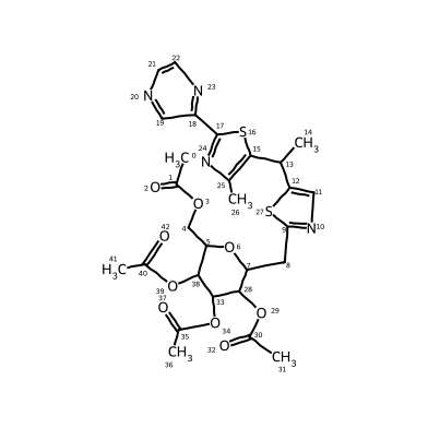 CC(=O)OCC1OC(Cc2ncc(C(C)c3sc(-c4cnccn4)nc3C)s2)C(OC(C)=O)C(OC(C)=O)C1OC(C)=O